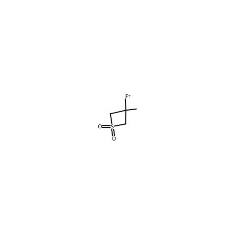 CC(C)C1(C)CS(=O)(=O)C1